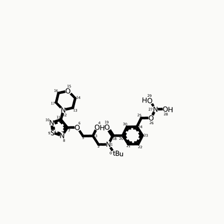 CC(C)(C)N(CC(O)COc1nsnc1N1CCOCC1)C(=O)c1cccc(CON(O)O)c1